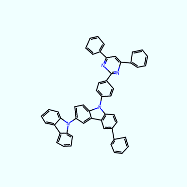 c1ccc(-c2ccc3c(c2)c2cc(-n4c5ccccc5c5ccccc54)ccc2n3-c2ccc(-c3nc(-c4ccccc4)cc(-c4ccccc4)n3)cc2)cc1